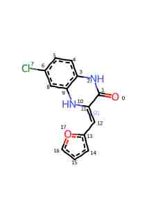 O=C1Nc2ccc(Cl)cc2N/C1=C\c1ccco1